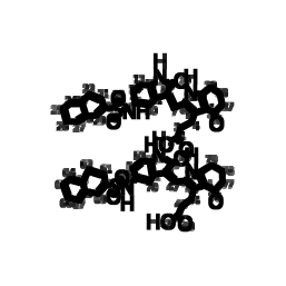 O=C(O)CCc1c(C=C2C(=O)Nc3ccc(NS(=O)(=O)c4ccc5ccccc5c4)cc32)[nH]c2c1C(=O)CCC2.O=C(O)CCc1c(C=C2C(=O)Nc3ccc(NS(=O)(=O)c4ccc5ccccc5c4)cc32)[nH]c2c1C(=O)CCC2